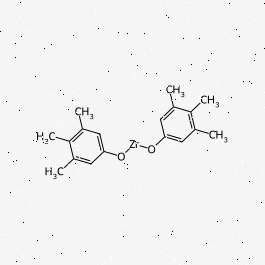 Cc1cc([O][Zr][O]c2cc(C)c(C)c(C)c2)cc(C)c1C